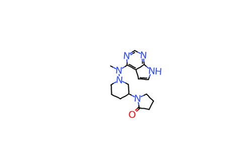 CN(c1ncnc2[nH]ccc12)N1CCCC(N2CCCC2=O)C1